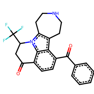 O=C(c1ccccc1)c1ccc2c3c1c1c(n3C(C(F)(F)F)CC2=O)CCNCC1